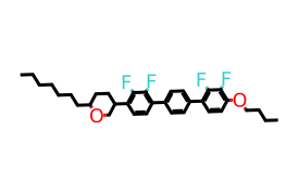 CCCCCCCC1CCC(c2ccc(-c3ccc(-c4ccc(OCCCC)c(F)c4F)cc3)c(F)c2F)CO1